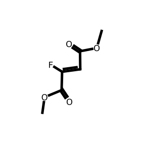 COC(=O)C=C(F)C(=O)OC